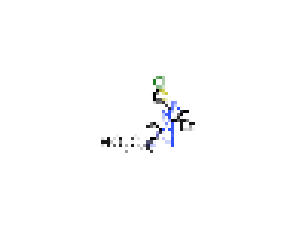 C=C/C(=C\C=C(/C)CC(=O)O)Nc1nc(-c2ccc(Cl)s2)nc(C)c1CC